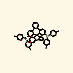 Cc1ccc(N(c2ccc(C)cc2)c2ccc3c(c2)C2(c4cc(N(c5ccc(C)cc5)c5ccc(C)cc5)ccc4-c4ccccc4-3)c3ccccc3-c3ccccc32)cc1